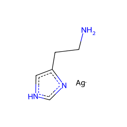 NCCc1c[nH]cn1.[Ag]